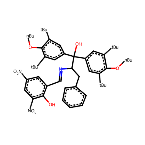 CCCCOc1c(C(C)(C)C)cc(C(O)(c2cc(C(C)(C)C)c(OCCCC)c(C(C)(C)C)c2)C(Cc2ccccc2)N=Cc2cc([N+](=O)[O-])cc([N+](=O)[O-])c2O)cc1C(C)(C)C